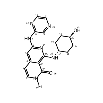 CCn1ccc2cc(Nc3cnccn3)nc(N[C@H]3CC[C@H](O)CC3)c2c1=O